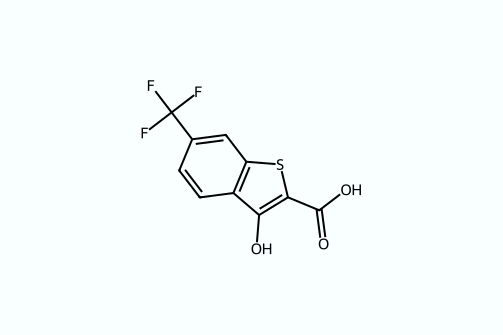 O=C(O)c1sc2cc(C(F)(F)F)ccc2c1O